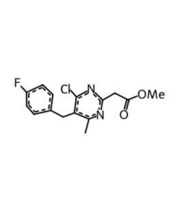 COC(=O)Cc1nc(C)c(Cc2ccc(F)cc2)c(Cl)n1